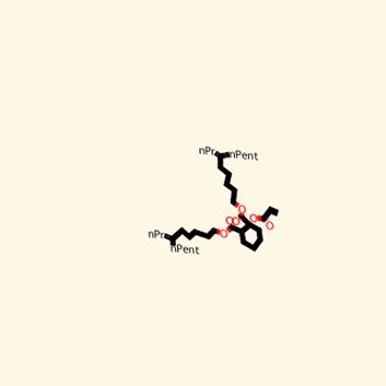 C=CC(=O)OC1(C(=O)OCCCCCC(CCC)CCCCC)CCCCC1C(=O)OCCCCCC(CCC)CCCCC